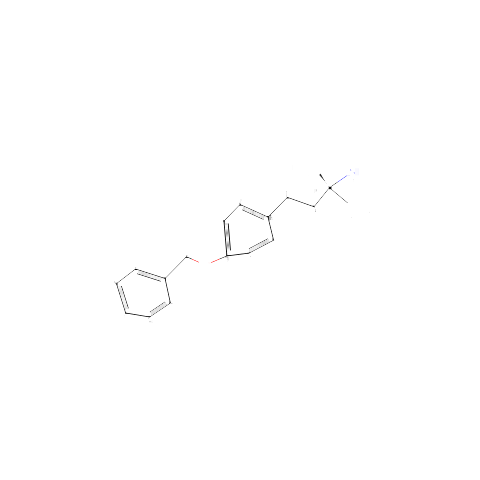 CCOC(=O)[C@](C)(N)CCc1ccc(OCc2ccccc2)cc1